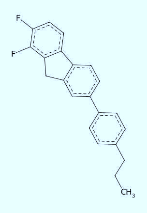 CCCc1ccc(-c2ccc3c(c2)Cc2c-3ccc(F)c2F)cc1